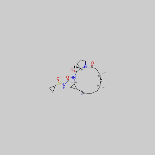 C[C@@H]1CC/C=C\C2C[C@@]2(C(=O)N[S+]([O-])C2CC2)NC(=O)[C@@H]2CCCN2C(=O)C[C@H](C)C1